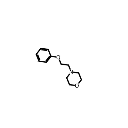 [c]1cccc(OCCN2CCOCC2)c1